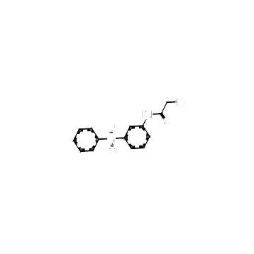 O=C(CBr)Nc1cccc(S(=O)(=O)c2ccccc2)c1